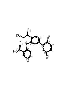 CCC(C)c1cnc(-c2cc(Cl)ccc2F)cc1Nc1ccncc1C(=O)O